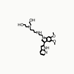 COc1cc2c(-c3cc4cccnc4[nH]3)cn(CCNCCCN(CCO)CCO)c2cc1OC